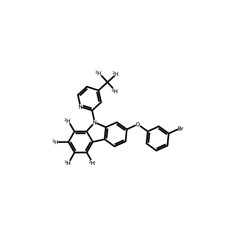 [2H]c1c([2H])c([2H])c2c(c1[2H])c1ccc(Oc3cccc(Br)c3)cc1n2-c1cc(C([2H])([2H])[2H])ccn1